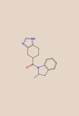 CC1Cc2ccccc2N1C(=O)C1CCc2[nH]cnc2C1